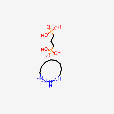 C1CCCCNNNNCCC1.O=P(O)(O)CCCP(=O)(O)O